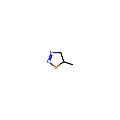 CC1CN=NS1